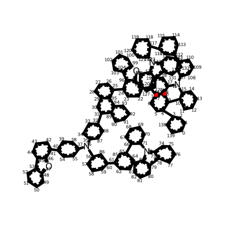 c1ccc(-c2ccccc2-c2ccccc2N(c2ccc(-c3ccc(-c4cccc5cc(-c6ccc(N(c7ccc(-c8cccc9c8oc8ccccc89)cc7)c7cccc(-c8cccc(-c9ccccc9-n9c%10ccccc%10c%10ccccc%109)c8)c7)cc6)c6ccccc6c45)c4c3oc3ccccc34)cc2)c2cccc(-c3cccc(-c4ccccc4-n4c5ccccc5c5ccccc54)c3)c2)cc1